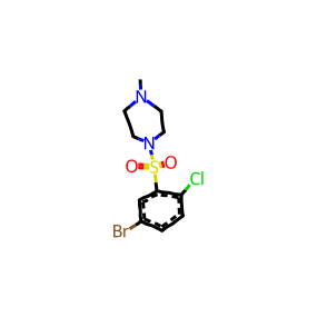 CN1CCN(S(=O)(=O)c2cc(Br)ccc2Cl)CC1